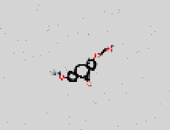 [CH2]COCCOc1ccc2c(c1)CCc1cc(OCCCC)ccc1-c1c-2c1=O